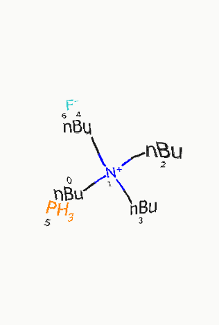 CCCC[N+](CCCC)(CCCC)CCCC.P.[F-]